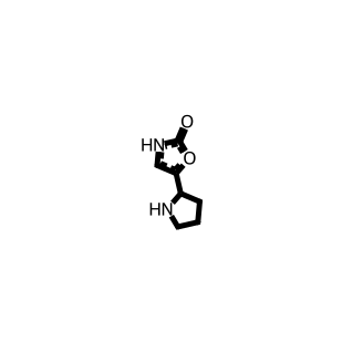 O=c1[nH]cc(C2CCCN2)o1